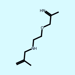 C=C(C)CNCCOCC(C)=N